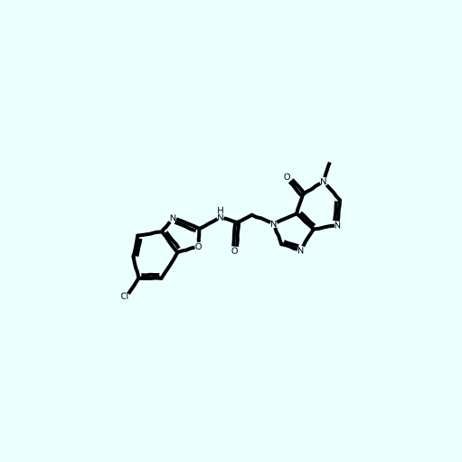 Cn1cnc2ncn(CC(=O)Nc3nc4ccc(Cl)cc4o3)c2c1=O